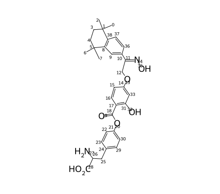 CC1(C)CCC(C)(C)c2cc(C(COc3ccc(C(=O)Oc4ccc(CC(N)C(=O)O)cc4)c(O)c3)=NO)ccc21